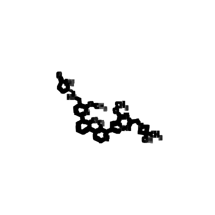 COc1nc(-c2cccc(-c3ccnc(-c4cc5c(OC)nc(CN6CC(C)(O)C6)nn5c4)c3Cl)c2Cl)ccc1CNC[C@@H]1CCC(=O)N1